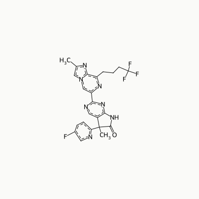 Cc1cn2cc(-c3ncc4c(n3)NC(=O)C4(C)c3ccc(F)cn3)nc(CCCC(F)(F)F)c2n1